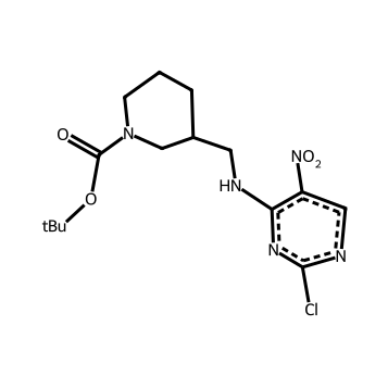 CC(C)(C)OC(=O)N1CCCC(CNc2nc(Cl)ncc2[N+](=O)[O-])C1